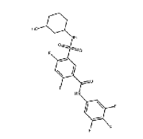 O=C(Nc1cc(F)c(F)c(F)c1)c1cc(S(=O)(=O)NC2CCCC(O)C2)c(F)cc1F